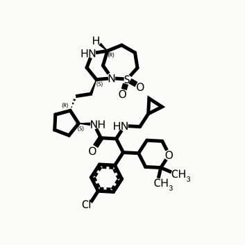 CC1(C)CC(C(c2ccc(Cl)cc2)C(NCC2CC2)C(=O)N[C@H]2CCC[C@@H]2CC[C@H]2CN[C@@H]3CCCS(=O)(=O)N2C3)CCO1